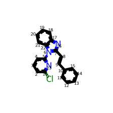 Clc1cccc(-n2c(C=Cc3ccccc3)nc3ccccc32)n1